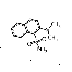 CN(C)c1ccc2ccccc2c1S(N)(=O)=O